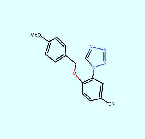 COc1ccc(COc2ccc(C#N)cc2-n2cnnn2)cc1